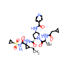 C=C[C@H]1C[C@]1(NC(=O)[C@@H]1C[C@@H](NC(=O)c2ccncc2)CN1C(=O)[C@@H](NC(=O)CC1CC1)C(C)(C)C)C(=O)NS(=O)(=O)C1CC1